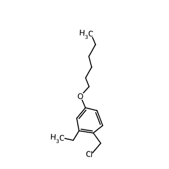 CCCCCCOc1ccc(CCl)c(CC)c1